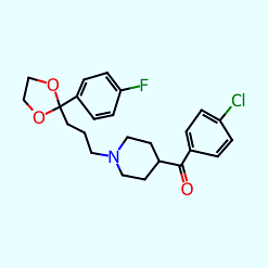 O=C(c1ccc(Cl)cc1)C1CCN(CCCC2(c3ccc(F)cc3)OCCO2)CC1